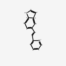 C(=Cc1ccccn1)c1ccc2sccc2c1